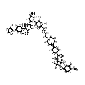 Cc1ncsc1-c1ccc([C@H](CO)NC(=O)[C@@H]2C[C@@H](O)CN2C(=O)[C@H](C)NC(=O)COCCN2CCCN(c3ccc(C(=O)N[C@H]4C(C)(C)[C@H](Oc5ccc(C#N)c(Cl)c5)C4(C)C)cn3)CC2)cc1